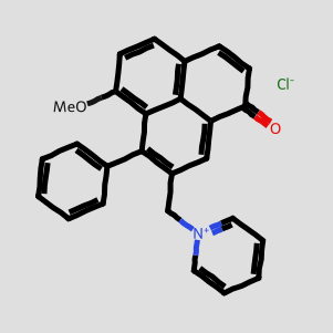 COc1ccc2c3c(cc(C[n+]4ccccc4)c(-c4ccccc4)c13)C(=O)C=C2.[Cl-]